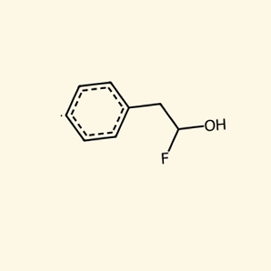 OC(F)Cc1cc[c]cc1